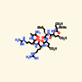 CSCC[C@H](NC(=O)[C@H](CCC(=O)O)NC(=O)[C@H](CC(=O)O)NC(C)=O)C(=O)N[C@@H](CCC(=O)O)C(=O)N[C@@H](CCCNC(=N)N)C(=O)N[C@@H](CCCNC(=N)N)C(=O)N[C@@H](C)C(N)=O